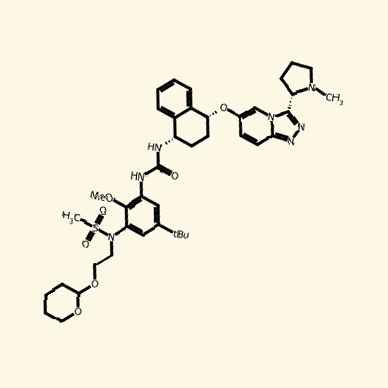 COc1c(NC(=O)N[C@H]2CC[C@@H](Oc3ccc4nnc([C@@H]5CCCN5C)n4c3)c3ccccc32)cc(C(C)(C)C)cc1N(CCOC1CCCCO1)S(C)(=O)=O